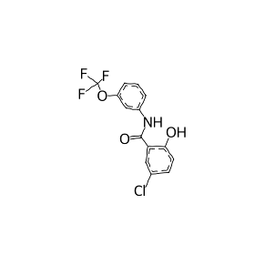 O=C(Nc1cccc(OC(F)(F)F)c1)c1cc(Cl)ccc1O